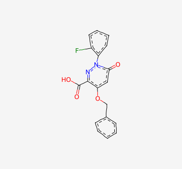 O=C(O)c1nn(-c2ccccc2F)c(=O)cc1OCc1ccccc1